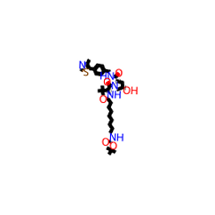 Cc1ncsc1-c1ccc(CNC(=O)[C@@H]2C[C@@H](O)CN2C(=O)[C@@H](NC(=O)CCCCCCCCNC(=O)OC(C)(C)C)C(C)(C)C)cc1